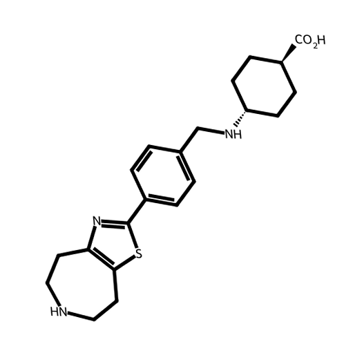 O=C(O)[C@H]1CC[C@H](NCc2ccc(-c3nc4c(s3)CCNCC4)cc2)CC1